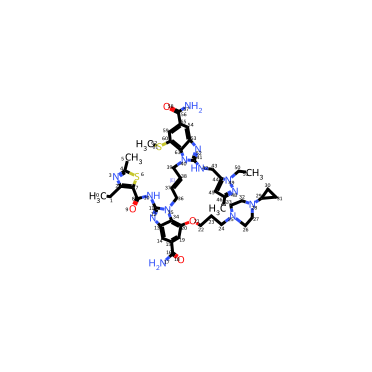 CCc1nc(C)sc1C(=O)Nc1nc2cc(C(N)=O)cc(OCCCN3CCN(C4CC4)CC3)c2n1C/C=C/Cn1c(NCc2cc(C)nn2CC)nc2cc(C(N)=O)cc(SC)c21